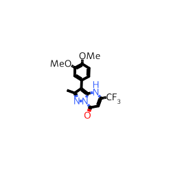 COc1ccc(-c2c(C)nn3c(=O)cc(C(F)(F)F)[nH]c23)cc1OC